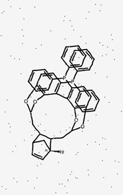 C1=C[C@@H]2CC1C1CC3Oc4ccc(P(c5ccccc5)c5ccccc5)c(c4O3)-c3c(P(c4ccccc4)c4ccccc4)ccc4c3OC(CC12)O4